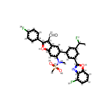 CC(F)c1cc(-c2nc3c(F)cccc3o2)cc(-c2cc3c(C=O)c(-c4ccc(F)cc4)oc3cc2N(C)S(C)(=O)=O)c1